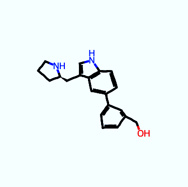 OCc1cccc(-c2ccc3[nH]cc(C[C@H]4CCCN4)c3c2)c1